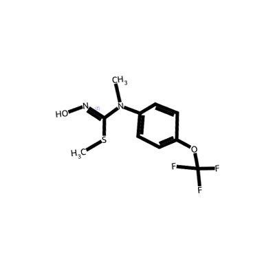 CS/C(=N\O)N(C)c1ccc(OC(F)(F)F)cc1